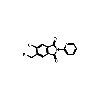 O=C1c2cc(Cl)c(CBr)cc2C(=O)N1c1ccccn1